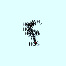 CC(=O)C(O)C(=O)SCCNC(=O)CCNC(=O)C(O)C(C)(C)COP(=O)(O)OP(=O)(O)OC[C@H]1O[C@@H](n2cnc3c(N)ncnc32)[C@H](O)[C@@H]1OP(=O)(O)O